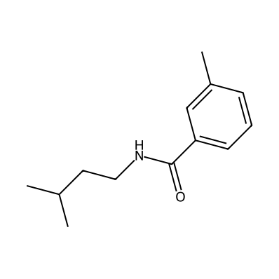 Cc1cccc(C(=O)NCCC(C)C)c1